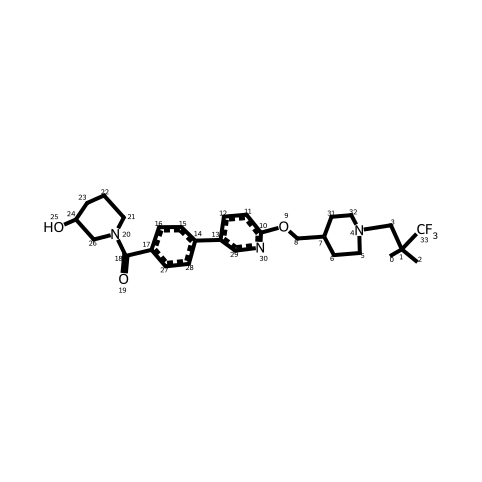 CC(C)(CN1CCC(COc2ccc(-c3ccc(C(=O)N4CCCC(O)C4)cc3)cn2)CC1)C(F)(F)F